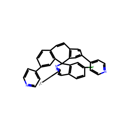 Fc1ccc2c(c1)C1(c3cc(-c4ccncc4)ccc3C=Cc3ccc(-c4ccncc4)cc31)n1nc(C(F)(F)F)cc1-2